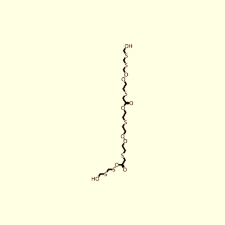 O=C(CSCCOOCSCSCO)OCCSCCOOCCSCC(=O)OSCSCO